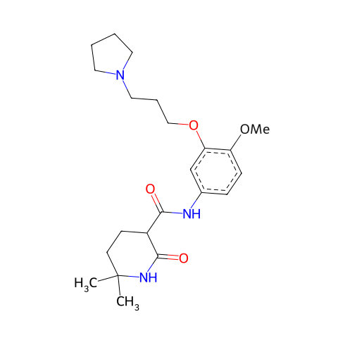 COc1ccc(NC(=O)C2CCC(C)(C)NC2=O)cc1OCCCN1CCCC1